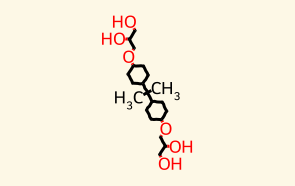 CC(C)(C1CCC(OCC(O)CO)CC1)C1CCC(OCC(O)CO)CC1